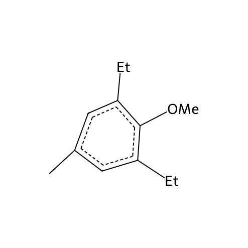 CCc1cc(C)cc(CC)c1OC